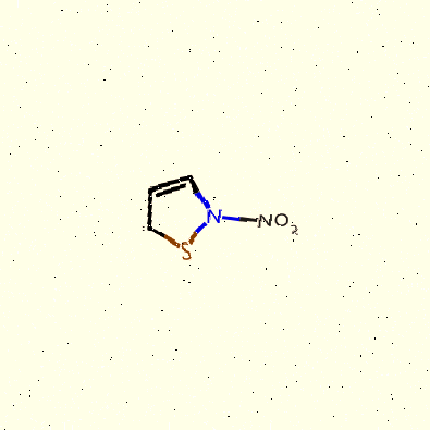 O=[N+]([O-])N1C=C[C]S1